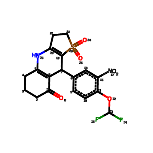 O=C1CCCC2=C1C(c1ccc(OC(F)F)c([N+](=O)[O-])c1)C1=C(CCS1(=O)=O)N2